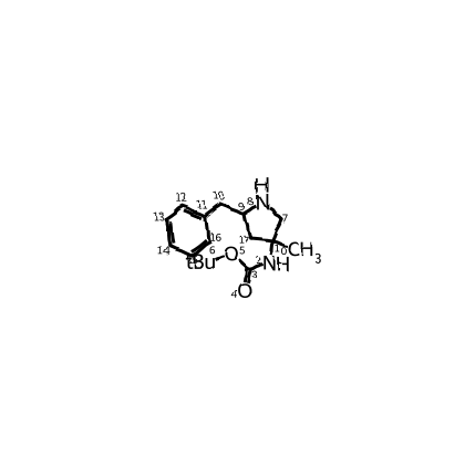 CC1(NC(=O)OC(C)(C)C)CNC(Cc2ccccc2)C1